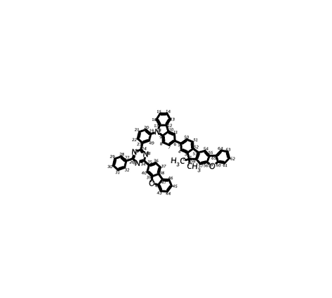 CC1(C)c2cc(-c3ccc4c(c3)c3ccccc3n4-c3cccc(-c4nc(-c5ccccc5)nc(-c5ccc6c(c5)oc5ccccc56)n4)c3)ccc2-c2cc3c(cc21)oc1ccccc13